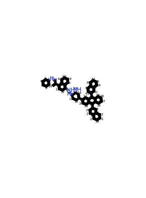 C=C(/C=N\c1ccccc1)c1ccc(N/N=C2/C=CC(c3ccc4c(-c5ccc6ccccc6c5)c5ccccc5c(-c5ccc6ccccc6c5)c4c3)=CC2=N)c2ccccc12